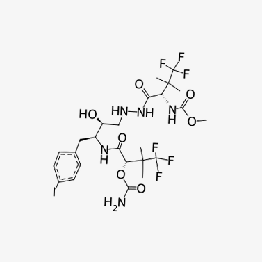 COC(=O)N[C@H](C(=O)NNC[C@H](O)[C@H](Cc1ccc(I)cc1)NC(=O)[C@@H](OC(N)=O)C(C)(C)C(F)(F)F)C(C)(C)C(F)(F)F